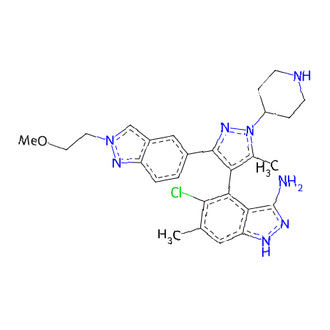 COCCn1cc2cc(-c3nn(C4CCNCC4)c(C)c3-c3c(Cl)c(C)cc4[nH]nc(N)c34)ccc2n1